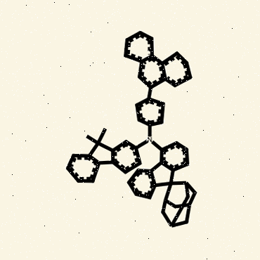 CC1(C)c2ccccc2-c2ccc(N(c3ccc(-c4cc5ccccc5c5ccccc45)cc3)c3cccc4c3-c3ccccc3C43C4CC5CC(C4)CC3C5)cc21